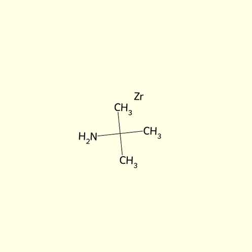 CC(C)(C)N.[Zr]